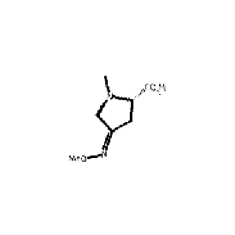 CON=C1C[C@@H](C(=O)O)N(C)C1